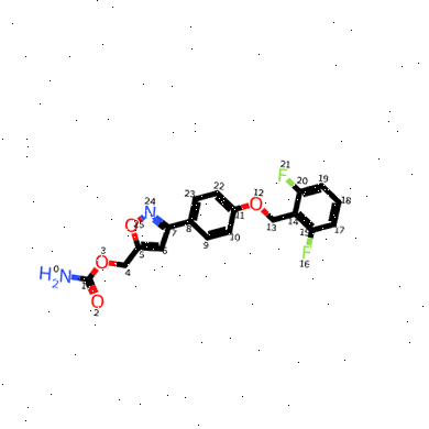 NC(=O)OCc1cc(-c2ccc(OCc3c(F)cccc3F)cc2)no1